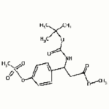 COC(=O)CC(NC(=O)OC(C)(C)C)c1ccc(OS(C)(=O)=O)cc1